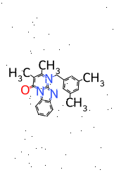 Cc1cc(C)cc(Cn2c(C)c(C)c(=O)n3c4ccccc4nc23)c1